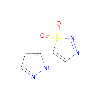 O=S1(=O)C=CN=N1.c1cn[nH]c1